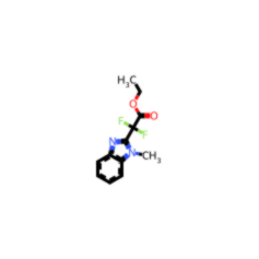 CCOC(=O)C(F)(F)c1nc2ccccc2n1C